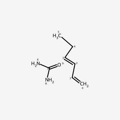 C=CC=CCC.NC(N)=O